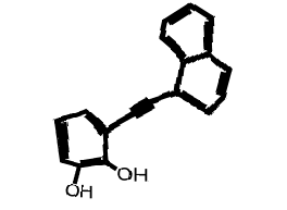 Oc1cccc(C#Cc2cccc3ccccc23)c1O